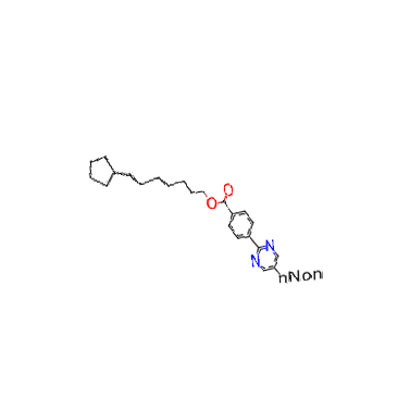 CCCCCCCCCc1cnc(-c2ccc(C(=O)OCCCCCCCC3CCCC3)cc2)nc1